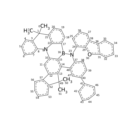 CC1(C)c2ccccc2N2c3cc4c(c5c3B(c3cccc1c32)N(c1cccc2c1oc1ccccc12)c1ccc(-c2ccccc2)cc1-5)C(C)(C)c1ccccc1-4